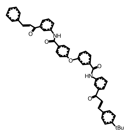 CC(C)(C)c1ccc(/C=C/C(=O)c2cccc(NC(=O)c3cccc(Oc4ccc(C(=O)Nc5cccc(C(=O)/C=C/c6ccccc6)c5)cc4)c3)c2)cc1